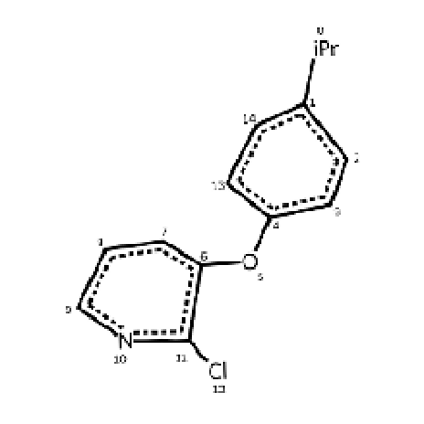 CC(C)c1ccc(Oc2cccnc2Cl)cc1